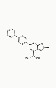 COC(O)c1cc(-c2ccc(-c3ccccc3)cc2)cc2nn(C)nc12